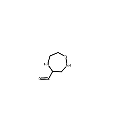 O=[C]C1CNOCCN1